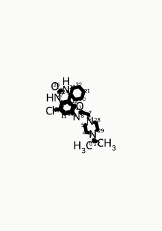 CC(C)N1CCN(Cc2nc3cc(Cl)c4c(c3o2)C2(CCCCC2)NC(=O)N4)CC1